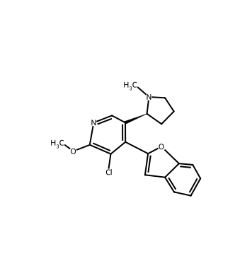 COc1ncc([C@@H]2CCCN2C)c(-c2cc3ccccc3o2)c1Cl